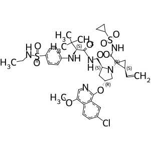 C=C[C@@H]1C[C@@]1(C(=O)NS(=O)(=O)C1CC1)N1C[C@H](Oc2ncc(OC)c3ccc(Cl)cc23)C[C@H]1C(=O)NC(=O)[C@@H](Nc1ccc(S(=O)(=O)NCC)cc1)C(C)(C)C